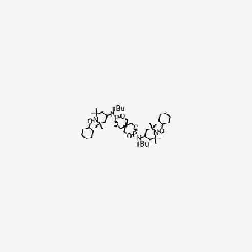 CCCCN(C1CC(C)(C)N(OC2CCCCC2)C(C)(C)C1)P1OCC2(CO1)COP(N(CCCC)C1CC(C)(C)N(OC3CCCCC3)C(C)(C)C1)OC2